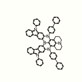 c1ccc(-c2ccc(N3c4cc5c(cc4B4c6cc7c8ccccc8n(-c8ccccc8)c7cc6N(c6ccc(-c7ccccc7)cc6)c6c7c8c(c3c64)CCCN8CCC7)c3ccccc3n5-c3ccccc3)cc2)cc1